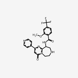 COc1cc(C(F)(F)F)ccc1C(=O)NC1CNCCn2c1nc(-c1ccncc1)cc2=O